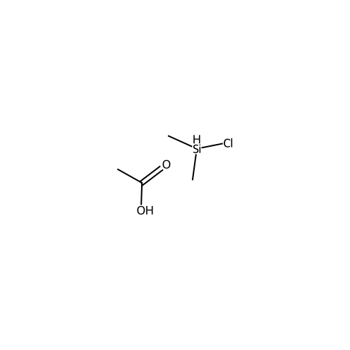 CC(=O)O.C[SiH](C)Cl